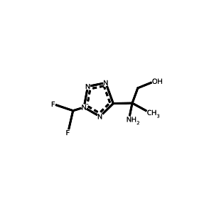 CC(N)(CO)c1nnn(C(F)F)n1